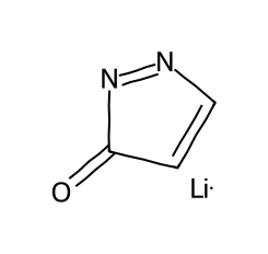 O=C1C=CN=N1.[Li]